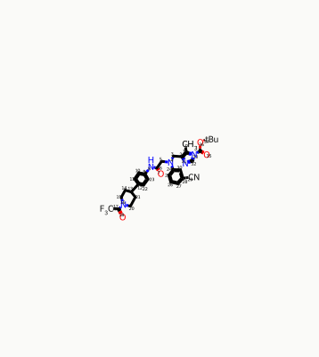 Cc1c(CN(CC(=O)Nc2ccc(C3CCN(C(=O)C(F)(F)F)CC3)cc2)c2cccc(C#N)c2)ncn1C(=O)OC(C)(C)C